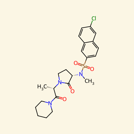 C[C@@H](C(=O)N1CCCCC1)N1CC[C@H](N(C)S(=O)(=O)c2ccc3cc(Cl)ccc3c2)C1=O